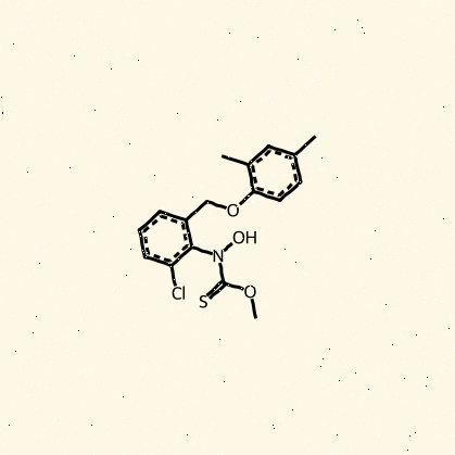 COC(=S)N(O)c1c(Cl)cccc1COc1ccc(C)cc1C